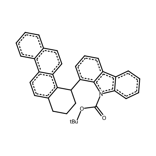 CC(C)(C)OC(=O)n1c2ccccc2c2cccc(C3CCCc4ccc5c(ccc6ccccc65)c43)c21